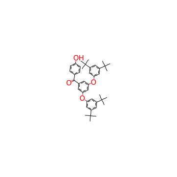 CC(C)(C)c1cc(Oc2cc(Oc3cc(C(C)(C)C)cc(C(C)(C)C)c3)cc(C(=O)c3ccc(O)cc3)c2)cc(C(C)(C)C)c1